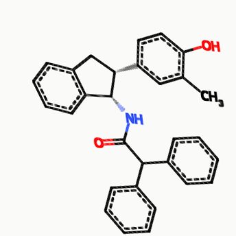 Cc1cc([C@H]2Cc3ccccc3[C@H]2NC(=O)C(c2ccccc2)c2ccccc2)ccc1O